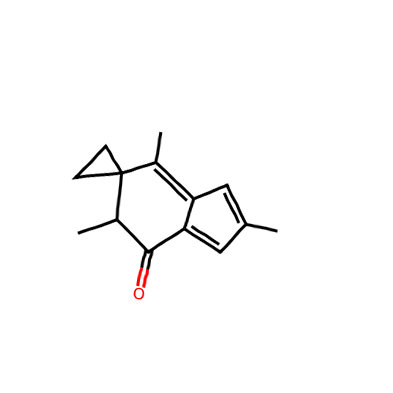 CC1=CC2=C(C)C3(CC3)C(C)C(=O)C2=C1